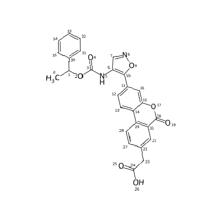 CC(OC(=O)Nc1cnoc1-c1ccc2c(c1)oc(=O)c1cc(CC(=O)O)ccc12)c1ccccc1